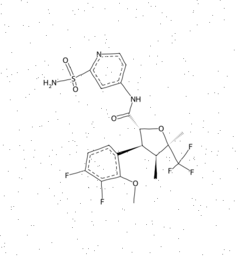 COc1c([C@H]2[C@H](C(=O)Nc3ccnc(S(N)(=O)=O)c3)O[C@@](C)(C(F)(F)F)[C@H]2C)ccc(F)c1F